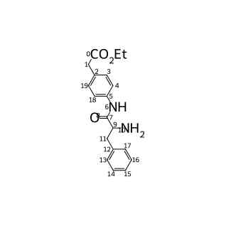 CCOC(=O)Cc1ccc(NC(=O)C(N)Cc2ccccc2)cc1